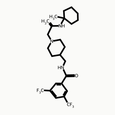 C=C(CN1CCC(CNC(=O)c2cc(C(F)(F)F)cc(C(F)(F)F)c2)CC1)NC1(C)CCCCC1